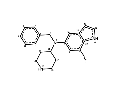 Clc1cc(N(Cc2ccccc2)C2CCNCC2)cc2cc[nH]c12